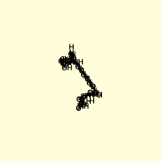 O=C1CCC(N2Cc3cc(CNC(=O)Nc4cc(Cl)cc(CCOCCOCCOCCOCCOCCOCCNc5nc(N6CCNCC6)c6cc(Cl)c(-c7cc(O)cc8ccccc78)c(F)c6n5)c4)ccc3C2=O)C(=O)N1